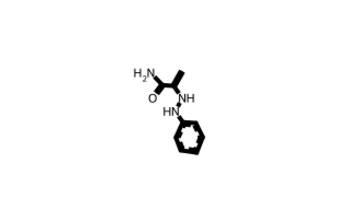 C=C(NNc1ccccc1)C(N)=O